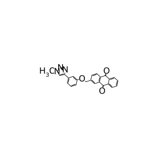 Cn1cc(-c2cccc(OCc3ccc4c(c3)C(=O)c3ccccc3C4=O)c2)nn1